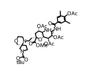 COC(=O)[C@@]1(CCN2CCOC[C@@]23CCN(C(=O)OC(C)(C)C)C3)C[C@H](OC(C)=O)[C@@H](N)[C@H]([C@H](OC(C)=O)[C@@H](CNC(=O)c2cc(C)c(OC(C)=O)c(C)c2)OC(C)=O)O1